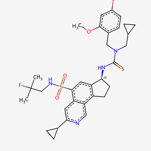 COc1ccc(CN(CC2CC2)C(=S)N[C@H]2CCc3c2cc(S(=O)(=O)NCC(C)(C)F)c2cc(C4CC4)ncc32)c(OC)c1